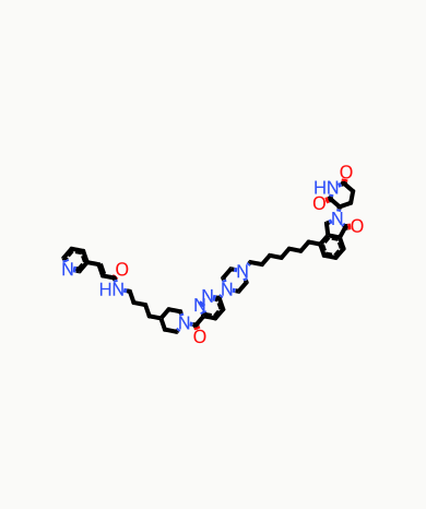 O=C(/C=C/c1cccnc1)NCCCCC1CCN(C(=O)c2ccc(N3CCN(CCCCCCCc4cccc5c4CN(C4CCC(=O)NC4=O)C5=O)CC3)nn2)CC1